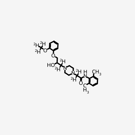 [2H]C([2H])([2H])Oc1ccccc1OCC(O)C([2H])([2H])N1CCN(C([2H])([2H])C(=O)Nc2c(C)cccc2C)CC1